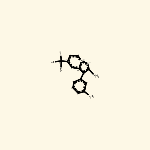 Cc1cccc(-c2c(N)nn3ccc(C(F)(F)F)cc23)c1